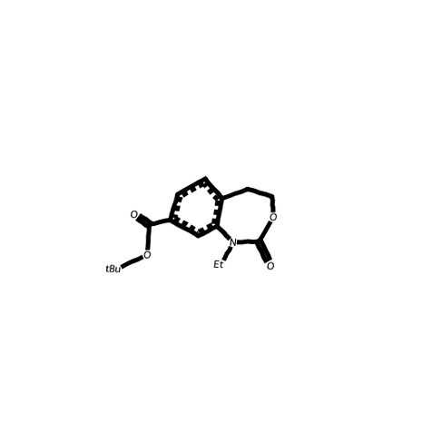 CCN1C(=O)OCCc2ccc(C(=O)OC(C)(C)C)cc21